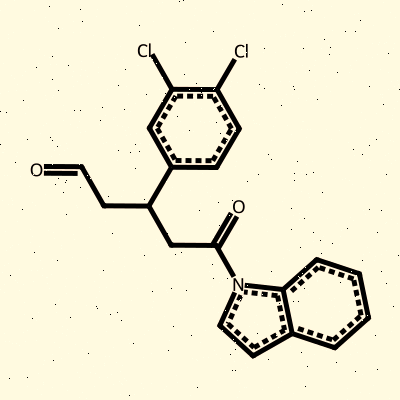 O=CCC(CC(=O)n1ccc2ccccc21)c1ccc(Cl)c(Cl)c1